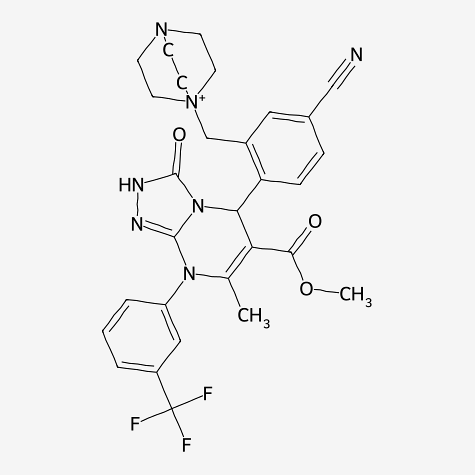 COC(=O)C1=C(C)N(c2cccc(C(F)(F)F)c2)c2n[nH]c(=O)n2C1c1ccc(C#N)cc1C[N+]12CCN(CC1)CC2